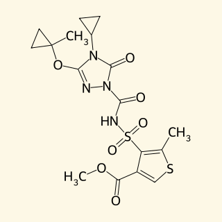 COC(=O)c1csc(C)c1S(=O)(=O)NC(=O)n1nc(OC2(C)CC2)n(C2CC2)c1=O